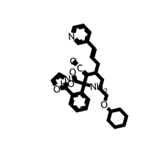 NC(C(=O)O)(C(=C=O)C(CC=Cc1cccnc1)CCCOC1CCCCC1)c1ccccc1-c1ncco1